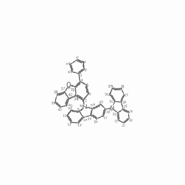 c1ccc(-c2ccc(-n3c4ccccc4c4ccc(-n5c6ccccc6c6ccccc65)cc43)c3c2oc2ccccc23)cc1